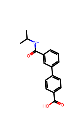 CC(C)NC(=O)c1cccc(-c2ccc(C(=O)O)cc2)c1